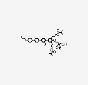 C=C(C)C(=O)OCCCc1cc(-c2ccc(C3C=CC(C4CCC(CCCC)CC4)=CC3)cc2CC)cc(CCCOC(=O)C(=C)C)c1OCCC(CO)(CO)CCC